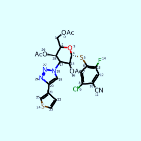 CC(=O)OCC1O[C@H](Sc2cc(Cl)c(C#N)cc2F)C(OC(C)=O)C(n2cc(-c3ccsc3)nn2)[C@H]1OC(C)=O